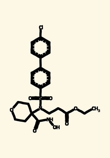 CCOC(=O)CCN(C1(C(=O)NO)CCOCC1)S(=O)(=O)c1ccc(-c2ccc(Cl)cc2)cc1